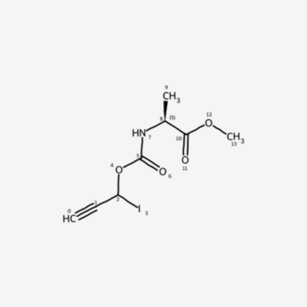 C#CC(I)OC(=O)N[C@@H](C)C(=O)OC